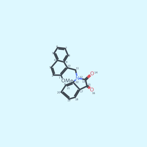 COc1ccc2ccccc2c1CN1C(=O)C(=O)c2ccccc21